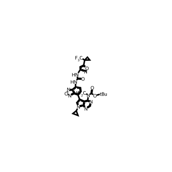 CC(C)(C)OC(=O)N(C(=O)O)c1ncnc2c1c(-c1ccc(NC(=O)Nc3cc(C4(C(F)(F)F)CC4)on3)c3nonc13)cn2C1CC1